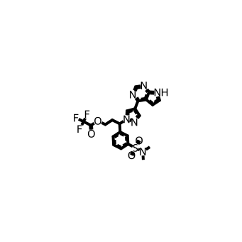 CN(C)S(=O)(=O)c1cccc(C(CCOC(=O)C(F)(F)F)n2cc(-c3ncnc4[nH]ccc34)cn2)c1